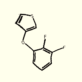 Fc1cccc(Oc2c[c]sc2)c1F